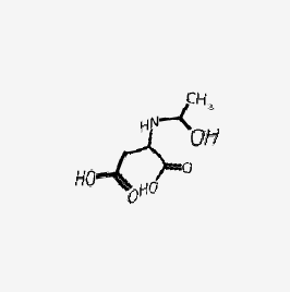 CC(O)NC(CC(=O)O)C(=O)O